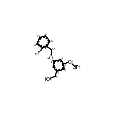 CC(C)Oc1cc(CO)cc(OCc2ccccc2F)c1